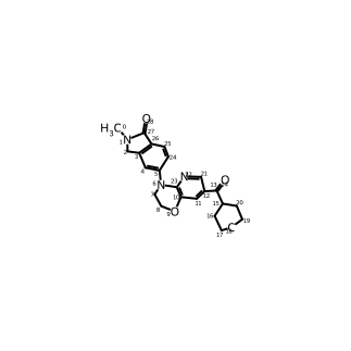 CN1Cc2cc(N3CCOc4cc(C(=O)C5CCCCC5)cnc43)ccc2C1=O